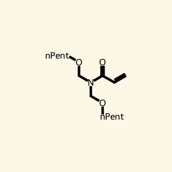 C=CC(=O)N(COCCCCC)COCCCCC